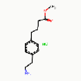 COC(=O)CCCc1ccc(CCN)cc1.Cl